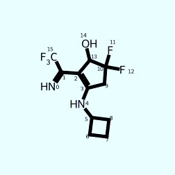 N=C(C1=C(NC2CCC2)CC(F)(F)C1O)C(F)(F)F